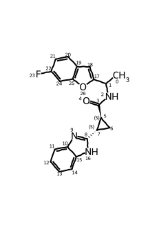 CC(NC(=O)[C@H]1C[C@@H]1c1nc2ccccc2[nH]1)c1cc2ccc(F)cc2o1